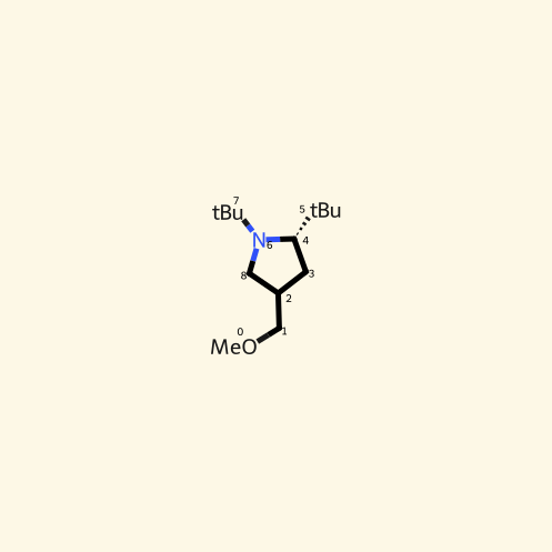 COCC1C[C@@H](C(C)(C)C)N(C(C)(C)C)C1